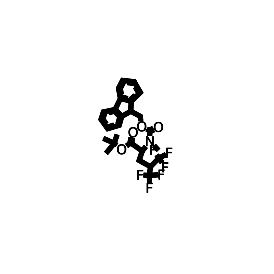 CN(C(=O)OCC1c2ccccc2-c2ccccc21)C(CC(C(F)(F)F)C(F)(F)F)C(=O)OC(C)(C)C